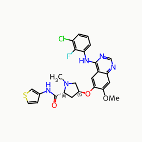 COc1cc2ncnc(Nc3cccc(Cl)c3F)c2cc1O[C@H]1C[C@H](C(=O)Nc2ccsc2)N(C)C1